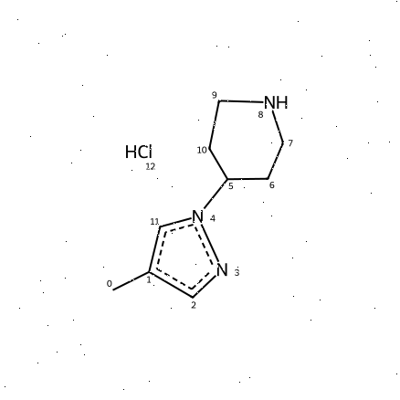 Cc1cnn(C2CCNCC2)c1.Cl